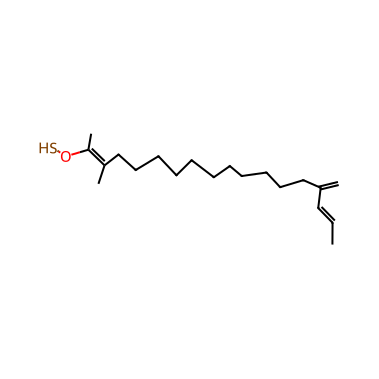 C=C(C=CC)CCCCCCCCCCC/C(C)=C(\C)OS